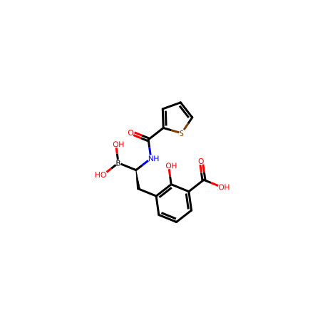 O=C(N[C@@H](Cc1cccc(C(=O)O)c1O)B(O)O)c1cccs1